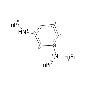 CCCNc1cccc(N(CCC)CCC)c1